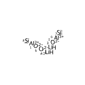 [Al+3].[Al+3].[LiH].[LiH].[O-2].[O-2].[O-2].[Si].[Si]